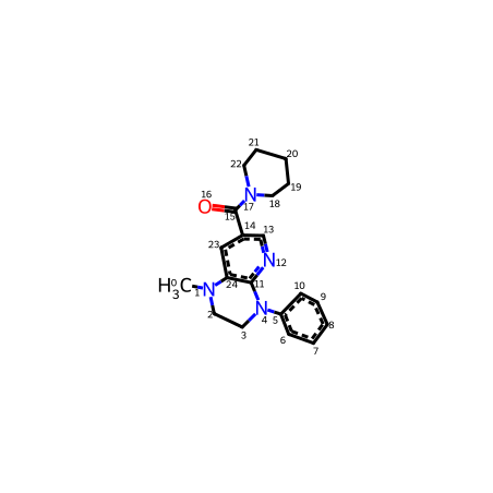 CN1CCN(c2ccccc2)c2ncc(C(=O)N3CCCCC3)cc21